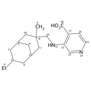 CCC1CC2CC(C1)CC(C)(CNc1cnccc1C(=O)O)C2